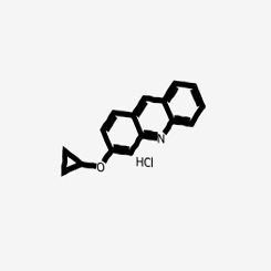 Cl.c1ccc2nc3cc(OC4CC4)ccc3cc2c1